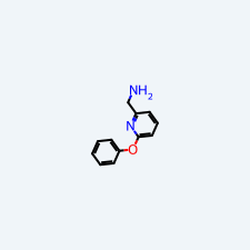 NCc1cccc(Oc2ccccc2)n1